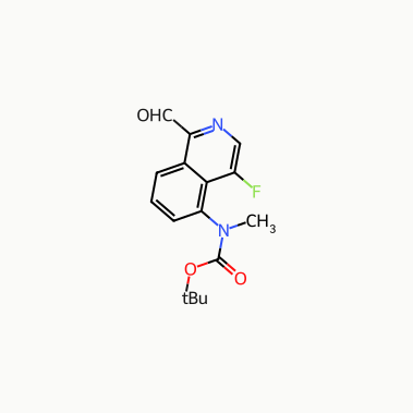 CN(C(=O)OC(C)(C)C)c1cccc2c(C=O)ncc(F)c12